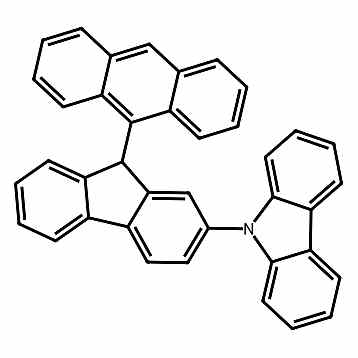 c1ccc2c(c1)-c1ccc(-n3c4ccccc4c4ccccc43)cc1C2c1c2ccccc2cc2ccccc12